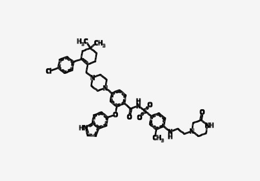 Cc1cc(S(=O)(=O)NC(=O)c2ccc(N3CCN(CC4=C(c5ccc(Cl)cc5)CC(C)(C)CC4)CC3)cc2Oc2ccc3[nH]ccc3c2)ccc1NCCN1CCNC(=O)C1